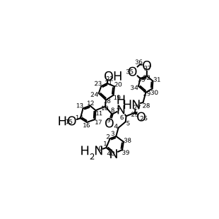 Nc1cc(CCC(NC(=O)C(c2ccc(O)cc2)c2ccc(O)cc2)C(=O)NCc2ccc3c(c2)OCO3)ccn1